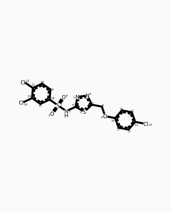 O=S(=O)(Nc1nnc(COc2ccc(Cl)cc2)s1)c1ccc(Cl)c(Cl)c1